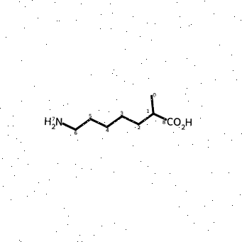 CC(CCCCCN)C(=O)O